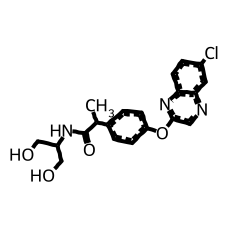 CC(C(=O)NC(CO)CO)c1ccc(Oc2cnc3cc(Cl)ccc3n2)cc1